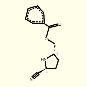 N#C[C@@H]1CC[C@@H](COC(=O)c2ccccc2)N1